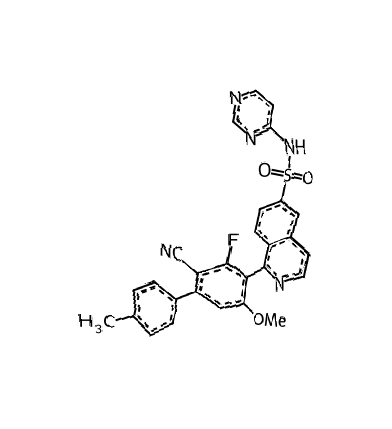 COc1cc(-c2ccc(C)cc2)c(C#N)c(F)c1-c1nccc2cc(S(=O)(=O)Nc3ccncn3)ccc12